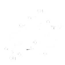 CC(=O)C=Cc1c([N+](=O)[O-])ccc2c1O[C@H](Cc1cc(C)ccc1S(=O)(=O)O)CO2